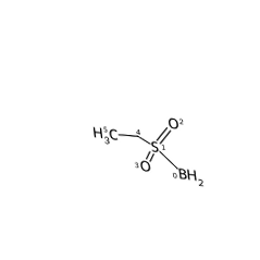 BS(=O)(=O)CC